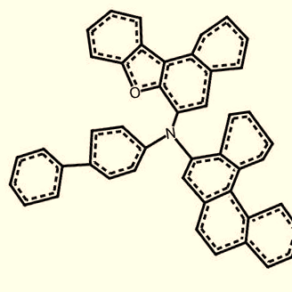 c1ccc(-c2ccc(N(c3cc4ccc5ccccc5c4c4ccccc34)c3cc4ccccc4c4c3oc3ccccc34)cc2)cc1